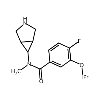 CC(C)Oc1cc(C(=O)N(C)C2C3CNCC32)ccc1F